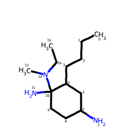 CCCCC1CC(N)CCC1(N)N(C)CC